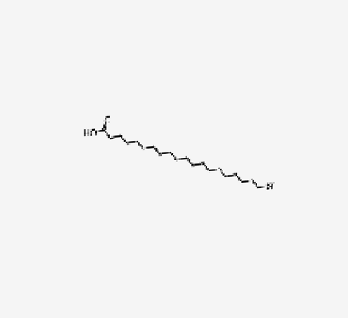 O=C(O)CCCCCCCCCCCCCCCCCCCBr